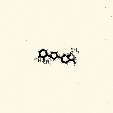 Cc1c(F)cccc1[C@]1(C(=O)O)CCC(c2ccc3c(F)nn(C)c3c2)C1